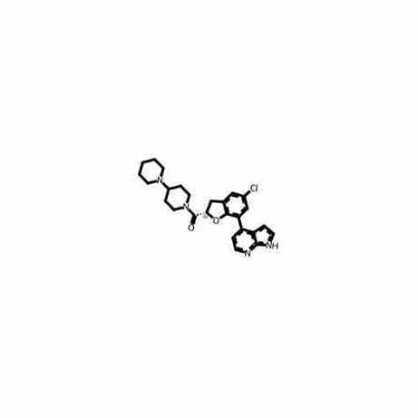 O=C([C@@H]1Cc2cc(Cl)cc(-c3ccnc4[nH]ccc34)c2O1)N1CCC(N2CCCCC2)CC1